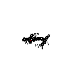 C[C@H]1CN(C[C@]2(C)CCC(c3ccc(Cl)cc3)=C(CN3CCN(c4ccc(C(=O)NS(=O)(=O)c5ccc(NC(CCN6CCCOCC6)CSc6ccccc6)c(S(=O)(=O)C(F)(F)F)c5)cc4)CC3)C2)CCN1.Cl